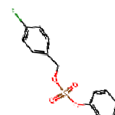 O=S(=O)(OCc1ccc(F)cc1)Oc1ccccc1